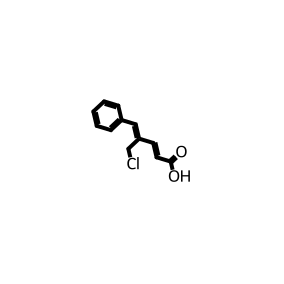 O=C(O)C=CC(=Cc1ccccc1)CCl